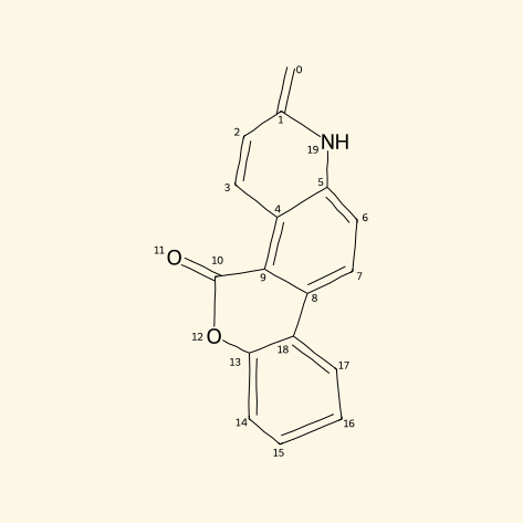 C=C1C=Cc2c(ccc3c2c(=O)oc2ccccc23)N1